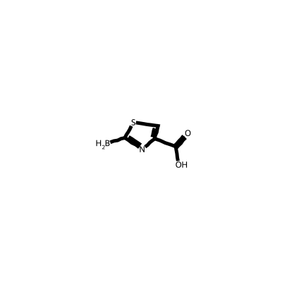 Bc1nc(C(=O)O)cs1